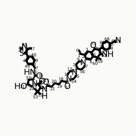 CCc1cc2c(cc1N1CCC(N3CCN(C(=O)CCCCC(=O)N[C@H](C(=O)N4C[C@H](O)C[C@H]4C(=O)NCc4ccc(-c5scnc5C)cc4)C(C)(C)C)CC3)CC1)C(C)(C)c1[nH]c3cc(C#N)ccc3c1C2=O